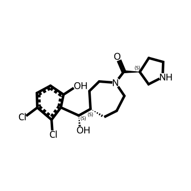 O=C([C@H]1CCNC1)N1CCC[C@H]([C@H](O)c2c(O)ccc(Cl)c2Cl)CC1